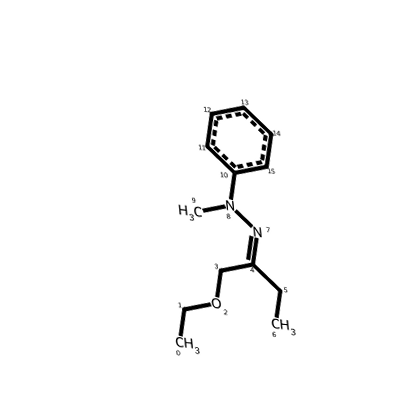 CCOCC(CC)=NN(C)c1ccccc1